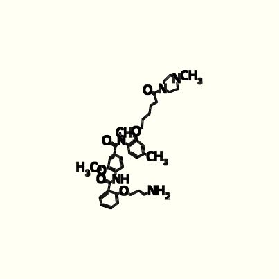 COc1cc(C(=O)N(C)c2ccc(C)cc2OCCCCCC(=O)N2CCN(C)CC2)ccc1NC(=O)c1ccccc1OCCCN